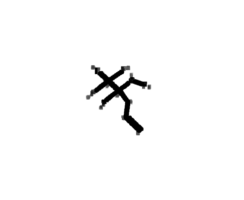 C=CCC(F)(OF)C(F)(F)F